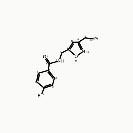 CCc1ccc(C(=O)NCc2cc(CC(C)C)no2)cc1